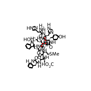 CSCC[C@H](NC(=O)[C@H](Cc1c[nH]c2ccccc12)NC(=O)CNC(=O)[C@H](Cc1ccc(O)cc1)NC(=O)[C@H](C)NC(=O)[C@H](CCC(=O)O)NC(=O)[C@H](Cc1c[nH]cn1)NC(=O)[C@@H](N)Cc1c[nH]cn1)C(=O)N[C@@H](CC(=O)O)C(=O)N[C@@H](Cc1ccccc1)C(N)=O